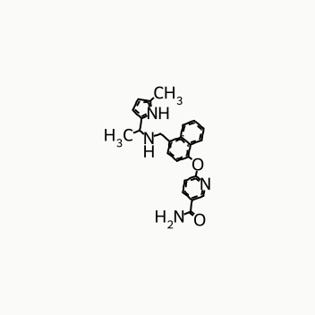 Cc1ccc(C(C)NCc2ccc(Oc3ccc(C(N)=O)cn3)c3ccccc23)[nH]1